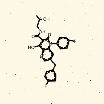 CC(O)CNC(=O)c1c(O)c2ncc(Cc3ccc(F)cc3)cc2n(-c2ccc(F)cc2)c1=O